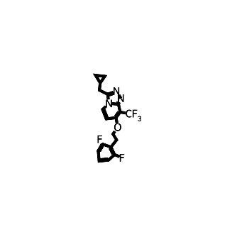 Fc1cccc(F)c1CCOc1ccn2c(CC3CC3)nnc2c1C(F)(F)F